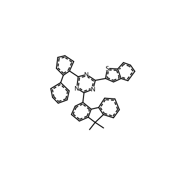 CC1(C)c2ccccc2-c2c(-c3nc(-c4cc5ccccc5s4)nc(-c4ccccc4-c4ccccc4)n3)cccc21